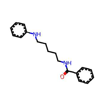 O=C(NCCCCCNc1ccccc1)c1ccccc1